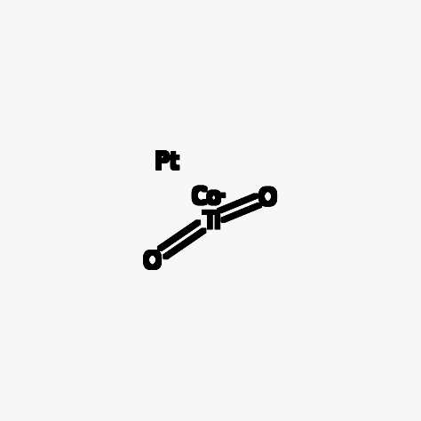 [Co].[O]=[Ti]=[O].[Pt]